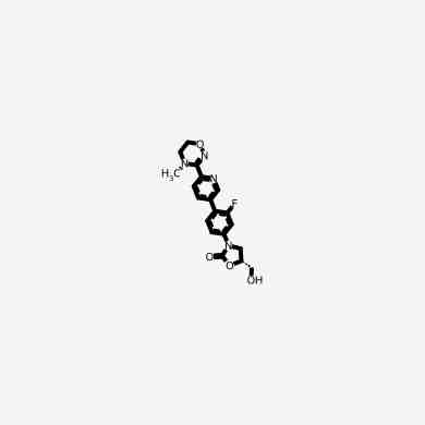 CN1CCON=C1c1ccc(-c2ccc(N3C[C@H](CO)OC3=O)cc2F)cn1